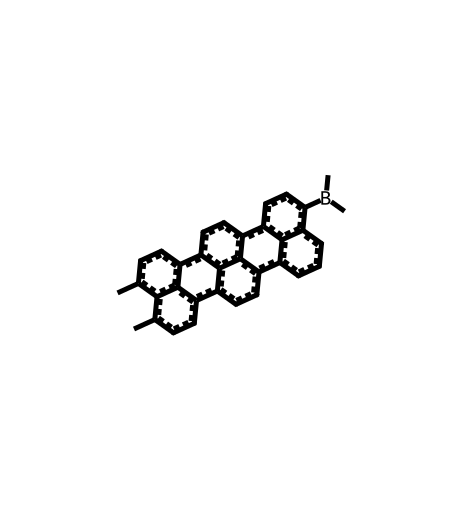 CB(C)c1ccc2c3ccc4c5ccc(C)c6c(C)ccc(c7ccc(c8cccc1c82)c3c74)c65